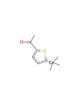 CC(=O)c1cc[c]([Ge]([CH3])([CH3])[CH3])s1